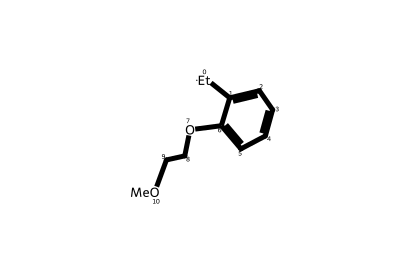 C[CH]c1ccccc1OCCOC